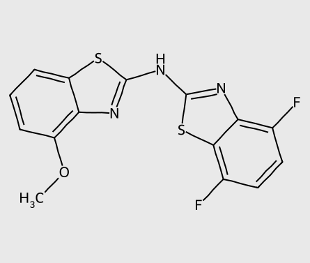 COc1cccc2sc(Nc3nc4c(F)ccc(F)c4s3)nc12